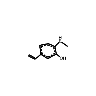 C=Cc1ccc(BC)c(O)c1